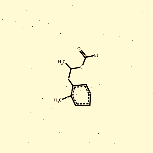 CCC(=O)OC(C)Cc1ccccc1C